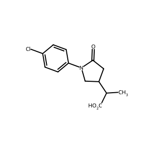 CC(C(=O)O)C1CC(=O)N(c2ccc(Cl)cc2)C1